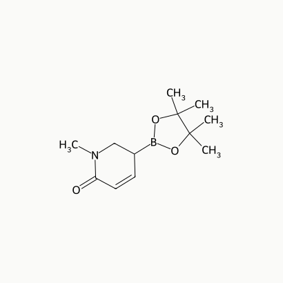 CN1CC(B2OC(C)(C)C(C)(C)O2)C=CC1=O